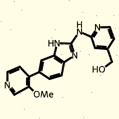 COc1cnccc1-c1ccc2nc(Nc3cc(CO)ccn3)[nH]c2c1